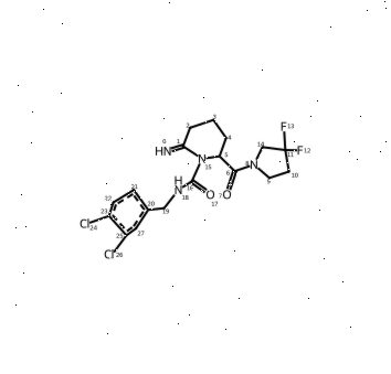 N=C1CCCC(C(=O)N2CCC(F)(F)C2)N1C(=O)NCc1ccc(Cl)c(Cl)c1